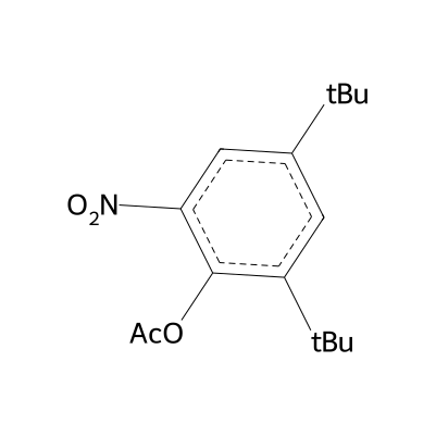 CC(=O)Oc1c([N+](=O)[O-])cc(C(C)(C)C)cc1C(C)(C)C